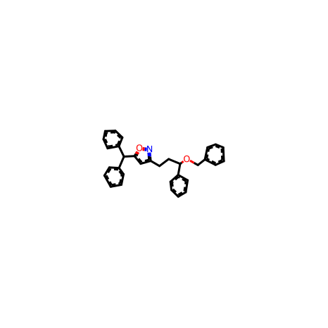 c1ccc(COC(CCc2cc(C(c3ccccc3)c3ccccc3)on2)c2ccccc2)cc1